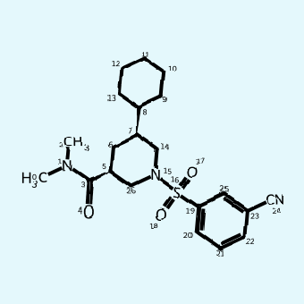 CN(C)C(=O)[C@H]1C[C@@H](C2CCCCC2)CN(S(=O)(=O)c2cccc(C#N)c2)C1